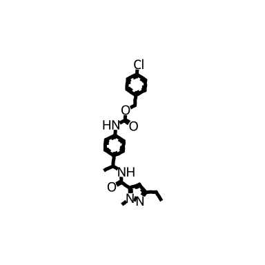 CCc1cc(C(=O)NC(C)c2ccc(NC(=O)OCc3ccc(Cl)cc3)cc2)n(C)n1